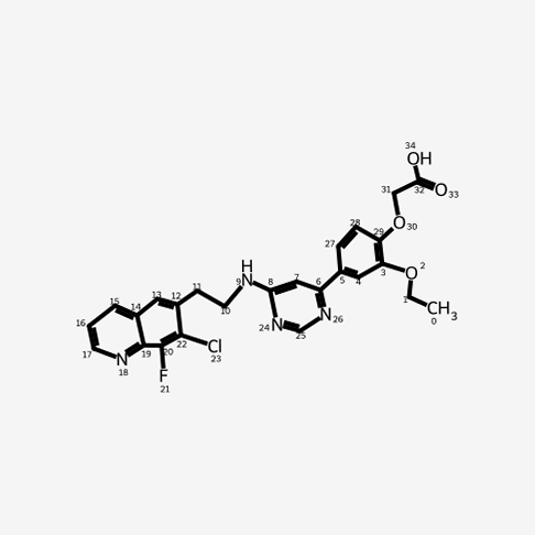 CCOc1cc(-c2cc(NCCc3cc4cccnc4c(F)c3Cl)ncn2)ccc1OCC(=O)O